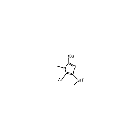 CC(=O)c1c([SiH](C)C)nc(C(C)(C)C)n1C